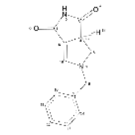 O=C1NC(=O)[C@H]2CN(Cc3ccccc3)C=C12